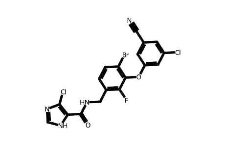 N#Cc1cc(Cl)cc(Oc2c(Br)ccc(CNC(=O)c3[nH]cnc3Cl)c2F)c1